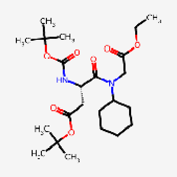 CCOC(=O)CN(C(=O)[C@H](CC(=O)OC(C)(C)C)NC(=O)OC(C)(C)C)C1CCCCC1